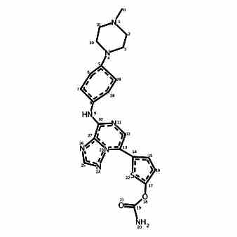 CN1CCN(c2ccc(Nc3ncc(-c4ccc(OC(N)=O)s4)n4ncnc34)cc2)CC1